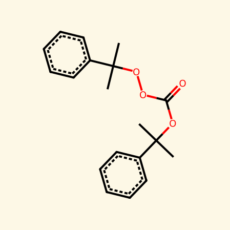 CC(C)(OOC(=O)OC(C)(C)c1ccccc1)c1ccccc1